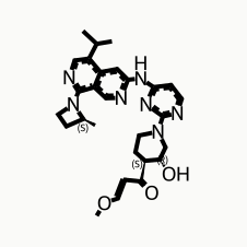 COC=CC(=O)[C@H]1CCN(c2nccc(Nc3cc4c(C(C)C)cnc(N5CC[C@@H]5C)c4cn3)n2)C[C@@H]1O